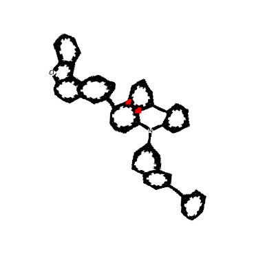 c1ccc(-c2ccc3ccc(N(c4ccc(-c5ccc6c(ccc7oc8ccccc8c76)c5)cc4)c4ccccc4-c4ccccc4)cc3c2)cc1